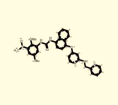 COc1c(NC(=O)Nc2ccc(Oc3ccnc(NCc4ccccn4)c3)c3ccccc23)cc(C(C)(C)C)cc1[S+](C)[O-]